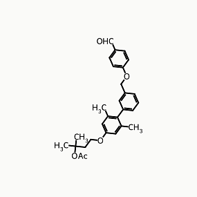 CC(=O)OC(C)(C)CCOc1cc(C)c(-c2cccc(COc3ccc(C=O)cc3)c2)c(C)c1